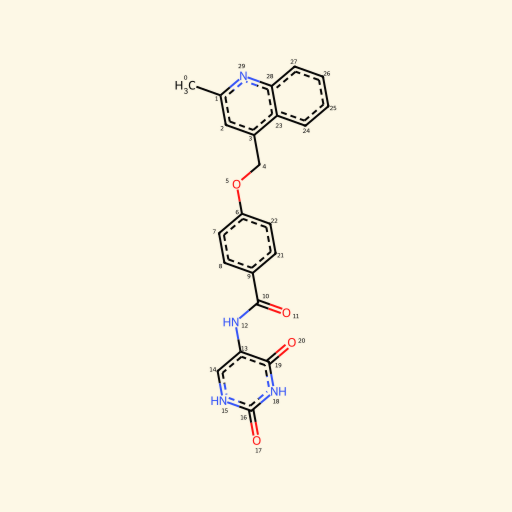 Cc1cc(COc2ccc(C(=O)Nc3c[nH]c(=O)[nH]c3=O)cc2)c2ccccc2n1